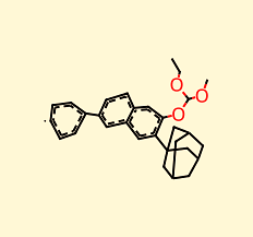 CCOC(OC)Oc1cc2ccc(-c3cc[c]cc3)cc2cc1C12CC3CC(CC(C3)C1)C2